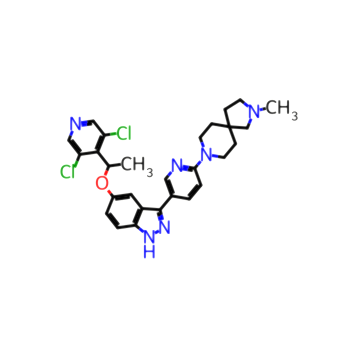 CC(Oc1ccc2[nH]nc(-c3ccc(N4CCC5(CCN(C)C5)CC4)nc3)c2c1)c1c(Cl)cncc1Cl